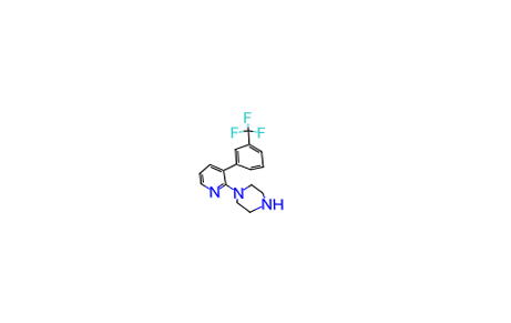 FC(F)(F)c1cccc(-c2cccnc2N2CCNCC2)c1